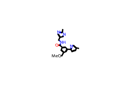 COCc1cc(C(=O)NCc2cnc(C)nc2)cc(-c2ccc(C)cn2)c1